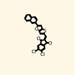 O=C1C(=Cc2cc3oc(-c4ccc5ccccc5c4)cc3s2)C(=O)c2cc(Cl)c(Cl)cc21